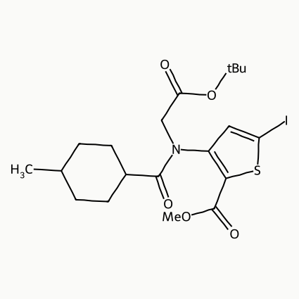 COC(=O)c1sc(I)cc1N(CC(=O)OC(C)(C)C)C(=O)C1CCC(C)CC1